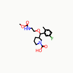 COC(=O)NCCOC(c1cc(F)ccc1C)C1CCCN(C(=O)O)C1